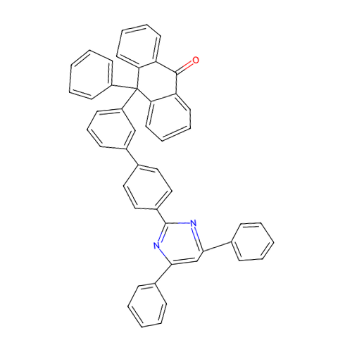 O=C1c2ccccc2C(c2ccccc2)(c2cccc(-c3ccc(-c4nc(-c5ccccc5)cc(-c5ccccc5)n4)cc3)c2)c2ccccc21